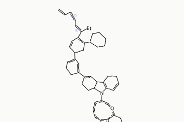 C=C/C=C\C=C(/CC)C1=C(C2CCCCC2)CC(C2=CCCC(C3=CC4C5=C(C=CCC5)N(c5cccc(C)c6c(oc5)CCC=C6)C4CC3)=C2)C=C1